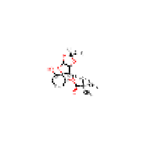 C[C@@H]1C2OC(C)(C)OC2OC12[C@H](O)CCC[C@@H]2OC(=O)C(C)(C)C